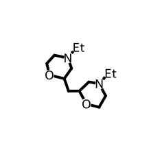 CCN1CCOC(CC2CN(CC)CCO2)C1